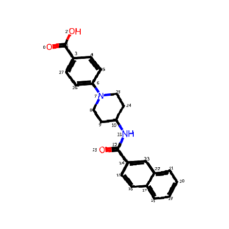 O=C(O)c1ccc(N2CCC(NC(=O)c3ccc4ccccc4c3)CC2)cc1